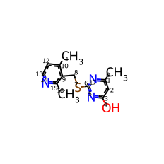 Cc1cc(O)nc(SCc2c(C)ccnc2C)n1